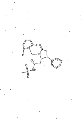 CS(=O)(=O)NC(=O)CC1C(c2ccccc2)CC(=O)N1Cc1c(F)cccc1F